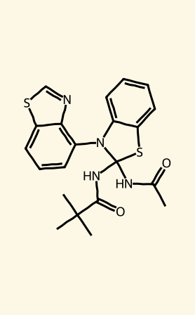 CC(=O)NC1(NC(=O)C(C)(C)C)Sc2ccccc2N1c1cccc2scnc12